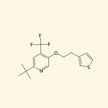 CC(C)(C)c1cc(C(F)(F)F)c(OCCc2ccsc2)cn1